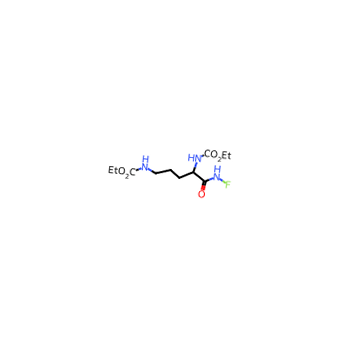 CCOC(=O)NCCCC(NC(=O)OCC)C(=O)NF